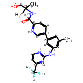 Cc1cc(Nc2nccc(C(F)(F)F)n2)cc(-c2ccc(C(=O)NC(C)(C)CO)nc2)c1